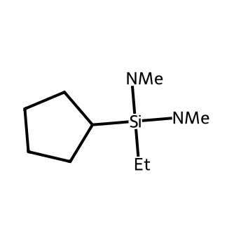 CC[Si](NC)(NC)C1CCCC1